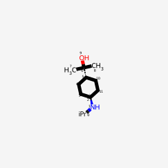 CC(C)N[C@H]1CC[C@H](C(C)(C)O)CC1